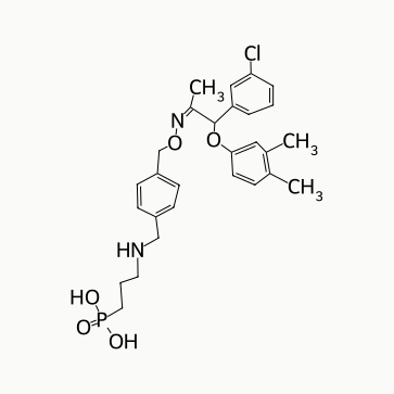 CC(=NOCc1ccc(CNCCCP(=O)(O)O)cc1)C(Oc1ccc(C)c(C)c1)c1cccc(Cl)c1